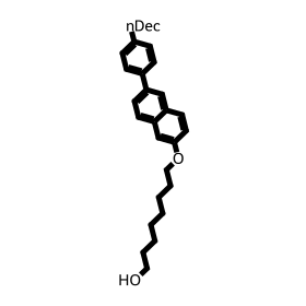 CCCCCCCCCCc1ccc(-c2ccc3cc(OCCCCCCCCO)ccc3c2)cc1